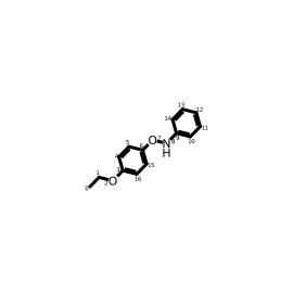 CCOc1ccc(ONc2ccccc2)cc1